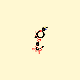 C=CCOC(=O)[C@H]1O[C@@H](Oc2ccc(COC(=O)O[C@H]3[C@@H](C)CCC/C(C)=C\C[C@@H](c4ccc5sc(C)nc5c4)OC(=O)C[C@H](O)C(C)(C)C(=O)[C@@H]3CC=C)cc2)[C@H](O)[C@@H](O)[C@@H]1O